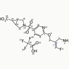 NC/C(=C\F)COc1ccc(S(=O)(=O)N2CC3C(C2)C3C(=O)O)cn1.O=C(O)C(F)(F)F